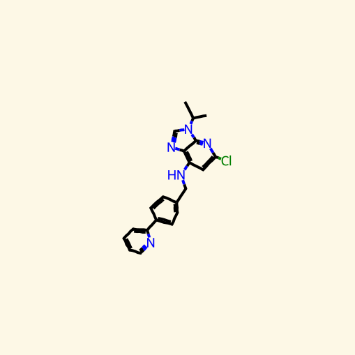 CC(C)n1cnc2c(NCc3ccc(-c4ccccn4)cc3)cc(Cl)nc21